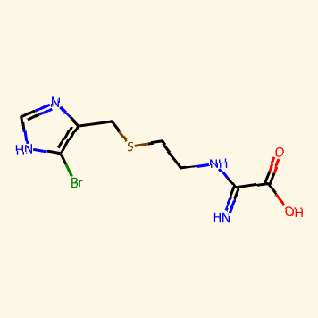 N=C(NCCSCc1nc[nH]c1Br)C(=O)O